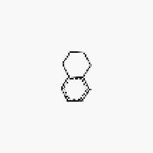 [C]1CCc2[c][c]ccc2C1